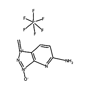 C=[N+]1N=[N+]([O-])c2nc(N)ccc21.F[P-](F)(F)(F)(F)F